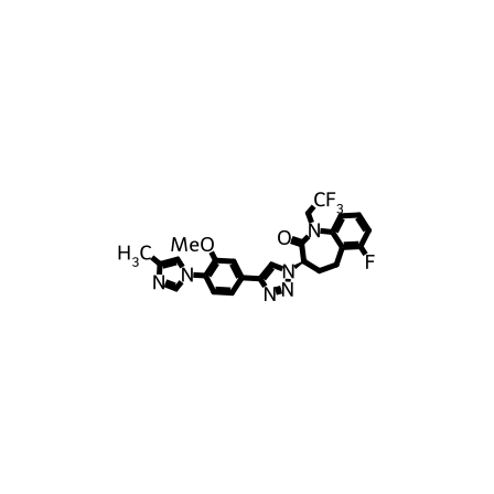 COc1cc(-c2cn([C@@H]3CCc4c(F)cccc4N(CC(F)(F)F)C3=O)nn2)ccc1-n1cnc(C)c1